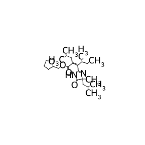 CCC(C)/C(C1=NC(C)(CC(C)C)C(=O)N1)=C(\CC(C)C)C(=O)OCC1CCCO1